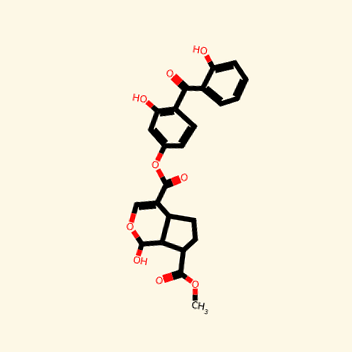 COC(=O)C1CCC2C(C(=O)Oc3ccc(C(=O)c4ccccc4O)c(O)c3)=COC(O)C12